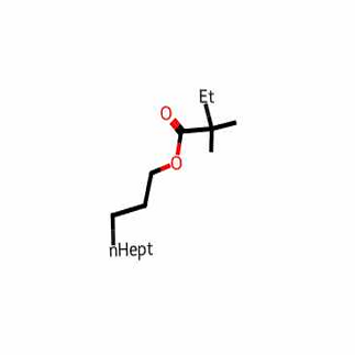 CCCCCCCCCCOC(=O)C(C)(C)CC